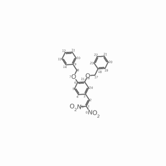 O=[N+]([O-])C(=Cc1ccc(OCc2ccccc2)c(OCc2ccccc2)c1)[N+](=O)[O-]